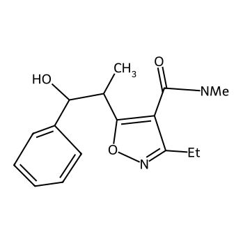 CCc1noc(C(C)C(O)c2ccccc2)c1C(=O)NC